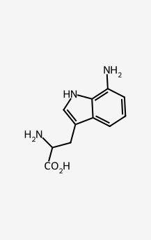 Nc1cccc2c(CC(N)C(=O)O)c[nH]c12